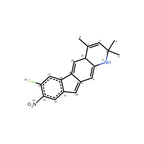 CC1=CC(C)(C)NC2=CC3=Cc4cc([N+](=O)[O-])c(F)cc4C3=CC12